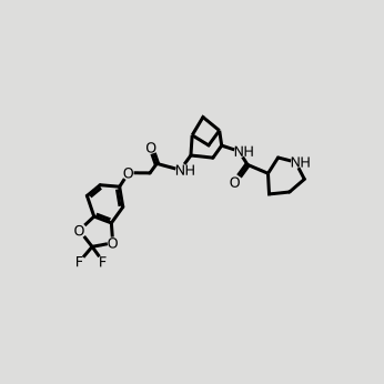 O=C(COc1ccc2c(c1)OC(F)(F)O2)NC1CC(NC(=O)C2CCCNC2)C2CC1C2